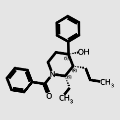 CCC[C@@H]1[C@H](CC)N(C(=O)c2ccccc2)CC[C@@]1(O)c1ccccc1